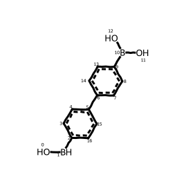 OBc1ccc(-c2ccc(B(O)O)cc2)cc1